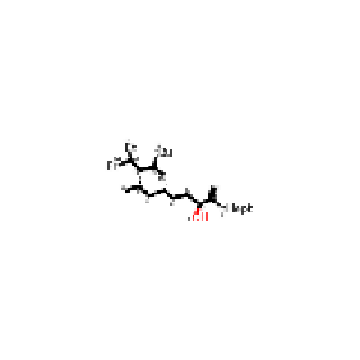 C=C(CCCCCCC)C(O)CCCCC(C)[C@H](C(CC)CC)C(C)C(C)(C)C